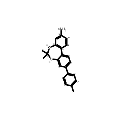 Cc1ccc(-c2ccc3c(c2)OC(C)(C)Oc2cc(N)ccc2-3)cc1